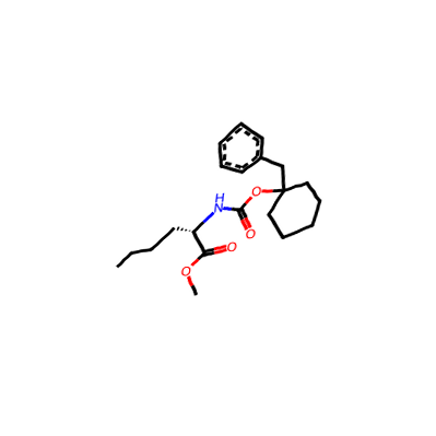 CCCC[C@H](NC(=O)OC1(Cc2ccccc2)CCCCC1)C(=O)OC